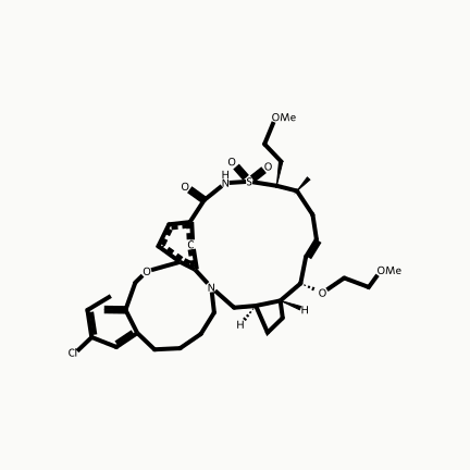 C=C1COc2ccc3cc2N(CCCC/C1=C/C(Cl)=C\C)C[C@@H]1CC[C@H]1[C@@H](OCCOC)/C=C/C[C@H](C)[C@H](CCOC)S(=O)(=O)NC3=O